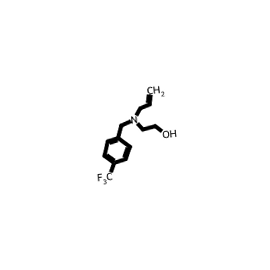 C=CCN(CCO)Cc1ccc(C(F)(F)F)cc1